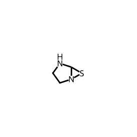 C1CN2SC2N1